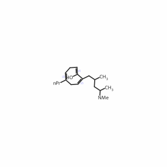 CCC/C1=C/C/C=C(O)/C(CC(C)CC(C)NC)=C\C1